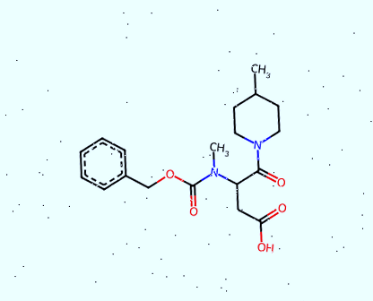 CC1CCN(C(=O)C(CC(=O)O)N(C)C(=O)OCc2ccccc2)CC1